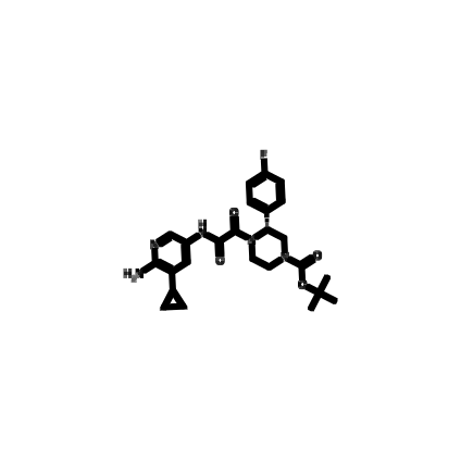 CC(C)(C)OC(=O)N1CCN(C(=O)C(=O)Nc2cnc(N)c(C3CC3)c2)[C@H](c2ccc(F)cc2)C1